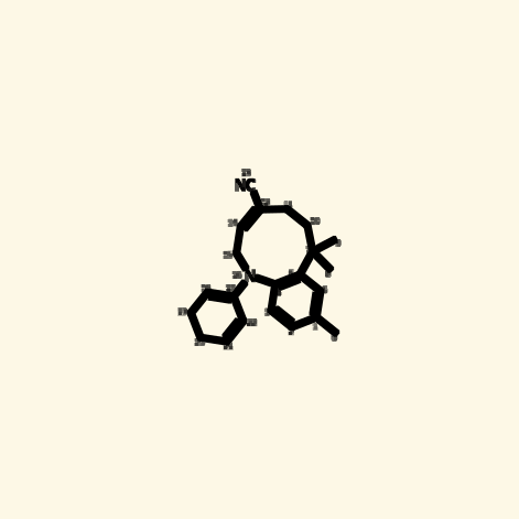 Cc1ccc2c(c1)C(C)(C)CC/C(C#N)=C\CN2C1=CCCC=C1